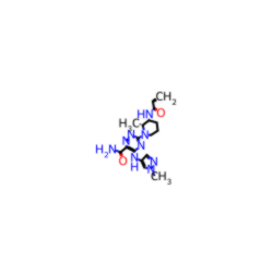 C=CC(=O)N[C@@H]1CCCN(c2nnc(C(N)=O)c(Nc3cnn(C)c3)n2)[C@@H]1C